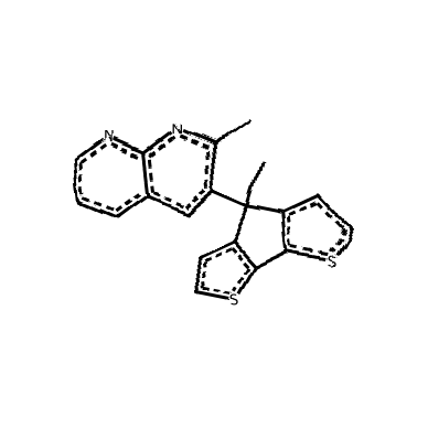 Cc1nc2ncccc2cc1C1(C)c2ccsc2-c2sccc21